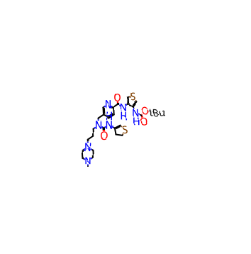 CN1CCN(CCCN(Cc2ccc(C(=O)Nc3cscc3NC(=O)OC(C)(C)C)nc2)C(=O)NC2=CSCC2)CC1